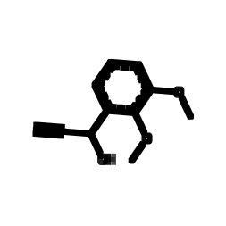 C#CC(O)c1cccc(OC)c1OC